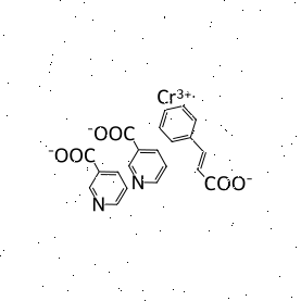 O=C([O-])C=Cc1ccccc1.O=C([O-])c1cccnc1.O=C([O-])c1cccnc1.[Cr+3]